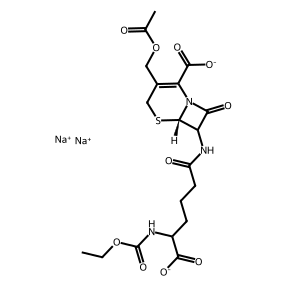 CCOC(=O)NC(CCCC(=O)NC1C(=O)N2C(C(=O)[O-])=C(COC(C)=O)CS[C@@H]12)C(=O)[O-].[Na+].[Na+]